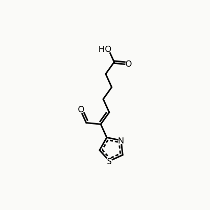 O=CC(=CCCCC(=O)O)c1cscn1